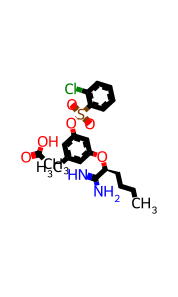 CC(=O)O.CCCC[C@H](Oc1cc(C)cc(OS(=O)(=O)c2ccccc2Cl)c1)C(=N)N